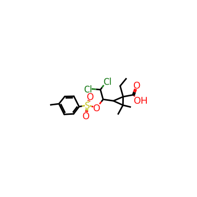 CCC1(C(=O)O)C(C(OS(=O)(=O)c2ccc(C)cc2)C(Cl)Cl)C1(C)C